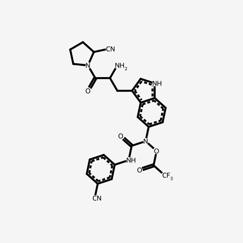 N#Cc1cccc(NC(=O)N(OC(=O)C(F)(F)F)c2ccc3[nH]cc(CC(N)C(=O)N4CCCC4C#N)c3c2)c1